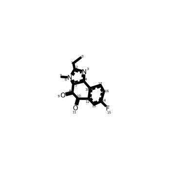 CCc1nc2c(n1C)C(=O)C(=O)c1cc(F)ccc1-2